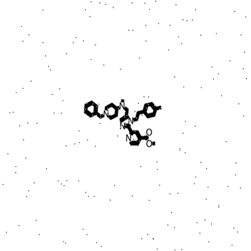 COC(=O)c1ccnc(-c2ncc(CN(C)C3CCN(Cc4ccccc4)CC3)n2CCc2ccc(C)cc2)c1